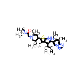 CC[C@H]1CN(CC(=O)N(C)C)[C@@H](C)C[C@H]1c1sc2[nH]c(-c3cn4ncnc4c(C)c3C)c(C(C)C)c2c1C